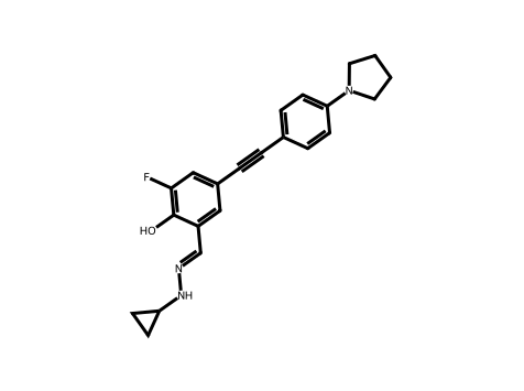 Oc1c(F)cc(C#Cc2ccc(N3CCCC3)cc2)cc1C=NNC1CC1